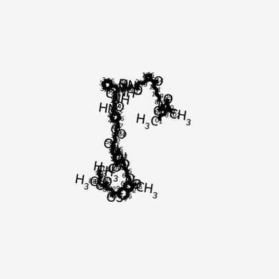 CCCCC12C(=O)N(CCCCCC(=O)C3CCC3CCC(=O)NCC(=O)NC(Cc3ccccc3)C(=O)NCC(=O)Nc3ccc(COC(=O)CCC(=O)N4Cc5cc(OC)c(OCCCOc6cc7c(cc6OC)CCSC(C(=O)CCC(=O)OC(C)CCC)=C7)nc5C4)cc3)C(=O)C1[C@H]2C